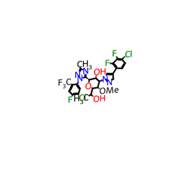 CO[C@H]1C(C(C)O)O[C@@H](c2nc(C)nn2-c2cc(Cl)c(F)cc2C(F)(F)F)[C@@H](O)C1n1cc(-c2ccc(Cl)c(F)c2F)cn1